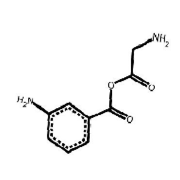 NCC(=O)OC(=O)c1cccc(N)c1